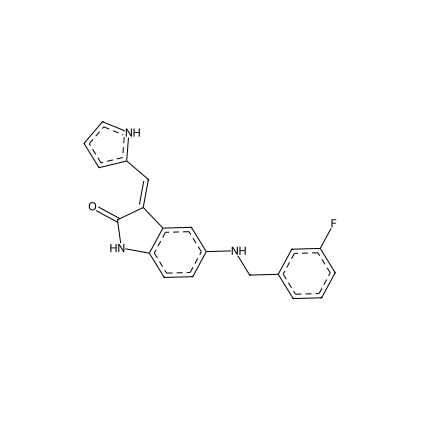 O=C1Nc2ccc(NCc3cccc(F)c3)cc2C1=Cc1ccc[nH]1